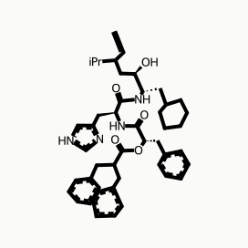 C=CC(C[C@@H](O)[C@H](CC1CCCCC1)NC(=O)[C@H](Cc1c[nH]cn1)NC(=O)[C@H](Cc1ccccc1)OC(=O)C(Cc1ccccc1)Cc1ccccc1)C(C)C